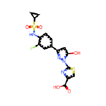 O=C(O)c1csc(-n2nc(-c3ccc(NS(=O)(=O)C4CC4)c(F)c3)cc2O)n1